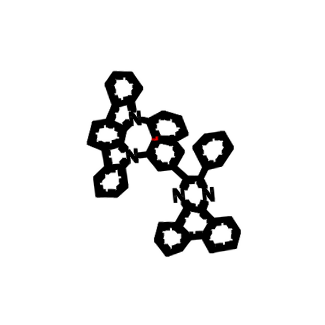 c1ccc(-c2nc3c4ccccc4c4ccccc4c3nc2-c2cccc(-n3c4ccccc4c4ccc5c6ccccc6n(-c6ccccc6)c5c43)c2)cc1